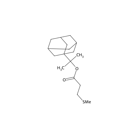 CSCCC(=O)OC(C)(C)C12CC3CC(CC(C3)C1)C2